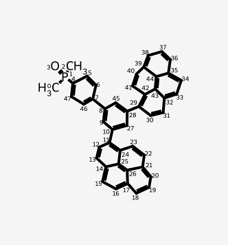 CP(C)(=O)c1ccc(-c2cc(-c3ccc4ccc5cccc6ccc3c4c56)cc(-c3ccc4ccc5cccc6ccc3c4c56)c2)cc1